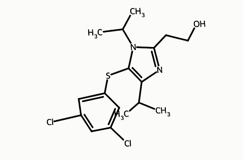 CC(C)c1nc(CCO)n(C(C)C)c1Sc1cc(Cl)cc(Cl)c1